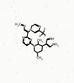 C=N/C=C(/c1nccc(N2CC(C)CC(/C(C=N)=C/N)C2C)n1)N1C=C(C(F)(F)F)N=CC1